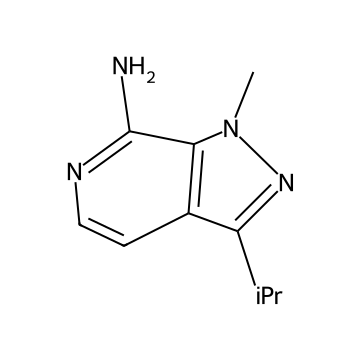 CC(C)c1nn(C)c2c(N)nccc12